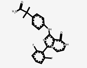 CC(C)(C(N)=O)c1ccc(Nc2nc(-c3c(F)cccc3F)n3cc[nH]c(=O)c23)cc1